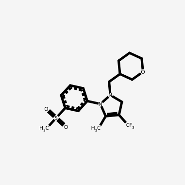 CC1=C(C(F)(F)F)CN(CC2CCCOC2)N1c1cccc(S(C)(=O)=O)c1